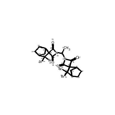 CC(N1C(=O)C2(C1=O)C1CCC(C1)C2(Br)Br)N1C(=O)C2(C1=O)C1CCC(C1)C2(Br)Br